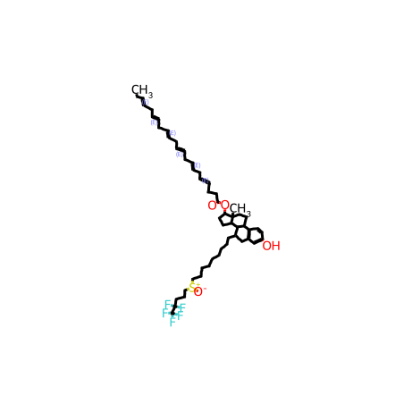 CC/C=C/C/C=C/C/C=C/C/C=C/C/C=C/C/C=C/CCC(=O)OC1CCC2C3C(CCCCCCCCC[S+]([O-])CCCC(F)(F)C(F)(F)F)Cc4cc(O)ccc4C3CCC12C